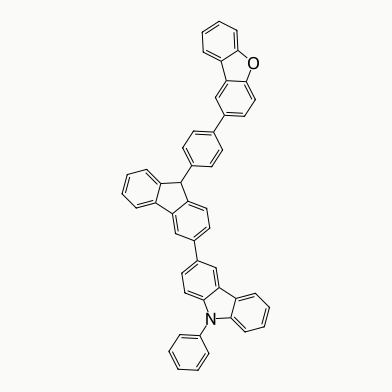 c1ccc(-n2c3ccccc3c3cc(-c4ccc5c(c4)-c4ccccc4C5c4ccc(-c5ccc6oc7ccccc7c6c5)cc4)ccc32)cc1